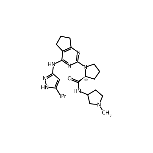 CC(C)c1cc(Nc2nc(N3CCC[C@H]3C(=O)NC3CCN(C)C3)nc3c2CCC3)n[nH]1